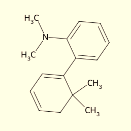 CN(C)c1ccccc1C1=CC=CCC1(C)C